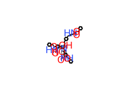 O=CNc1cc([C@H](O)CN(CCCCc2ccc(CCCCNC(=O)OCc3ccccc3)cc2)C[C@@H](O)c2ccc(OCc3ccccc3)c(NC=O)c2)ccc1OCc1ccccc1